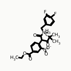 CCOC(=O)c1ccc(C(C(=O)NCc2ccc(F)c(F)c2)C(=O)C(C)(C)C)c([N+](=O)[O-])c1